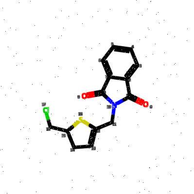 O=C1c2ccccc2C(=O)N1CC1=CCC(CCl)S1